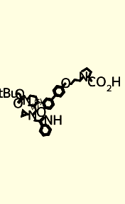 CC(C)(C)OC(=O)N1CC[C@H](c2cccc(-c3ccc(OCCCN4CCCC4C(=O)O)cc3)c2)[C@@H](C(=O)N(Cc2c[nH]c3ccccc23)C2CC2)C1